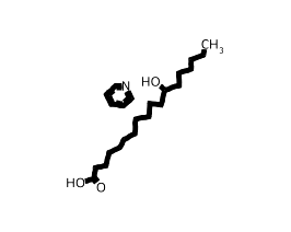 CCCCCCC(O)CCCCCCCCCCC(=O)O.c1ccncc1